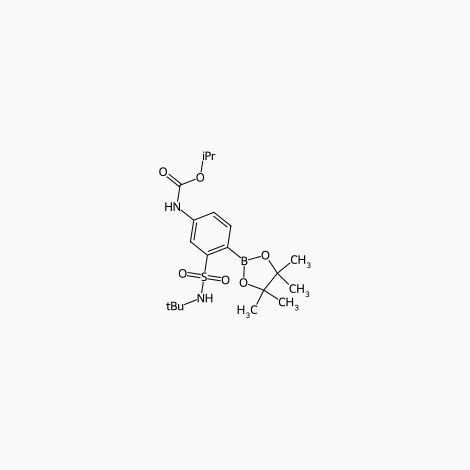 CC(C)OC(=O)Nc1ccc(B2OC(C)(C)C(C)(C)O2)c(S(=O)(=O)NC(C)(C)C)c1